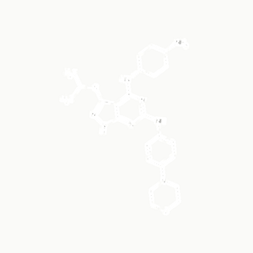 CC(C)Sc1n[nH]c2nc(Nc3ccc(N4CCOCC4)cc3)nc(N[C@H]3CC[C@@H](N)CC3)c12